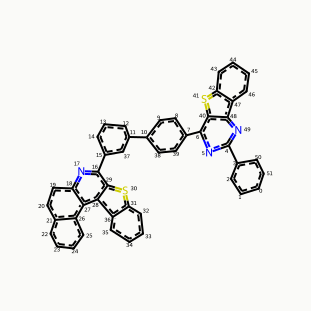 c1ccc(-c2nc(-c3ccc(-c4cccc(-c5nc6ccc7ccccc7c6c6c5sc5ccccc56)c4)cc3)c3sc4ccccc4c3n2)cc1